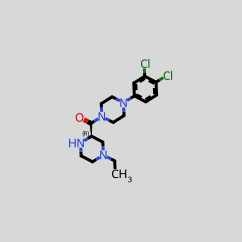 CCN1CCN[C@@H](C(=O)N2CCN(c3ccc(Cl)c(Cl)c3)CC2)C1